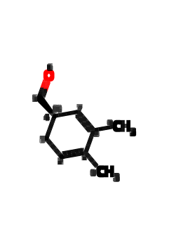 CC1=CC[C@@H](C=O)C=C1C